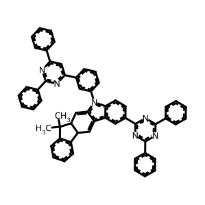 CC1(C)c2ccccc2C2C=c3c(n(-c4cccc(-c5cc(-c6ccccc6)nc(-c6ccccc6)n5)c4)c4ccc(-c5nc(-c6ccccc6)nc(-c6ccccc6)n5)cc34)=CC21